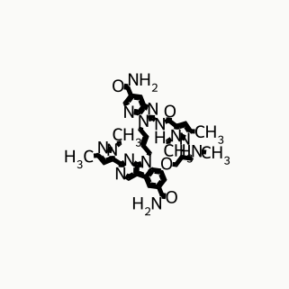 CCn1nc(C)cc1C(=O)Nc1nc2cc(C(N)=O)cnc2n1C/C=C/Cn1c2nc(-c3cc(C)nn3CC)ncc2c2cc(C(N)=O)cc(OCCCNC)c21